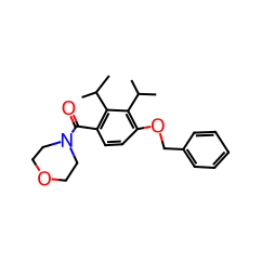 CC(C)c1c(OCc2ccccc2)ccc(C(=O)N2CCOCC2)c1C(C)C